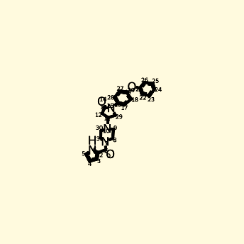 O=C(c1ccc[nH]1)N1CCN(C2CC(=O)N(c3ccc(Oc4ccccc4)cc3)C2)CC1